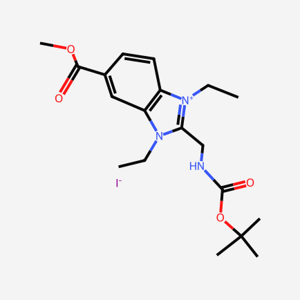 CCn1c(CNC(=O)OC(C)(C)C)[n+](CC)c2ccc(C(=O)OC)cc21.[I-]